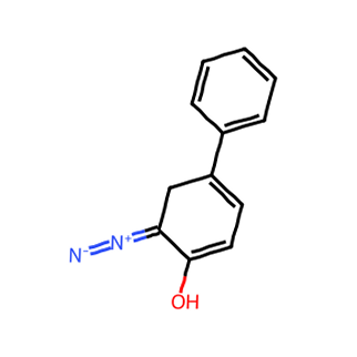 [N-]=[N+]=C1CC(c2ccccc2)=CC=C1O